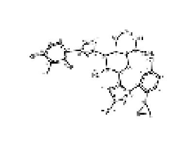 CO[C@H]1C(C(C)O)O[C@@H](c2nc(C)nn2-c2cc(Cl)ccc2C2CC2)C(O)C1n1cc(-c2ccc(Cl)c(F)c2F)cn1